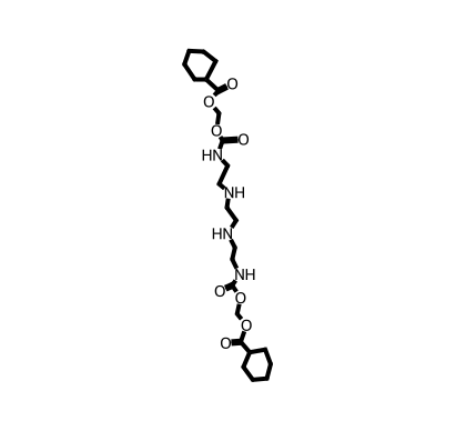 O=C(NCCNCCNCCNC(=O)OCOC(=O)C1CCCCC1)OCOC(=O)C1CCCCC1